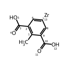 Cc1c(C(=O)O)cccc1C(=O)O.[Zr]